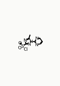 Cc1nc(S(=O)(=O)Cl)nn1-c1ncccn1